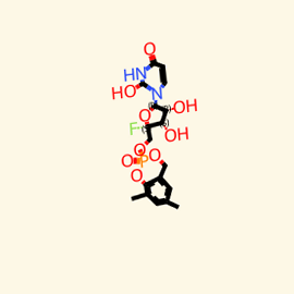 Cc1cc(C)c2c(c1)COP(=O)(OC[C@@]1(F)O[C@@H](N3C=CC(=O)NC3O)[C@H](O)[C@@H]1O)O2